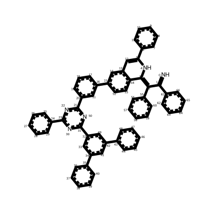 N=C(/C(=C1\NC(c2ccccc2)=Cc2cc(-c3cccc(-c4nc(-c5ccccc5)nc(-c5cc(-c6ccccc6)cc(-c6ccccc6)c5)n4)c3)ccc21)c1ccccc1)c1ccccc1